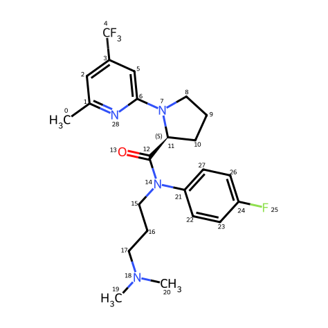 Cc1cc(C(F)(F)F)cc(N2CCC[C@H]2C(=O)N(CCCN(C)C)c2ccc(F)cc2)n1